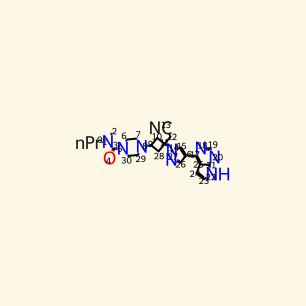 CCCN(C)C(=O)N1CCN(C2CC(CC#N)(n3cc(-c4ncnc5[nH]ccc45)cn3)C2)CC1